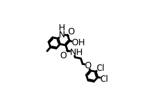 Cc1ccc2[nH]c(=O)c(O)c(C(=O)NCCCOc3cccc(Cl)c3Cl)c2c1